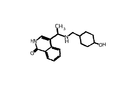 CC(NCC1CCC(O)CC1)c1c[nH]c(=O)c2ccccc12